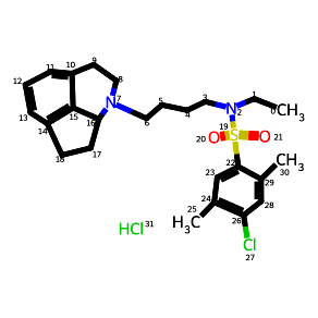 CCN(CCCCN1CCc2cccc3c2C1CC3)S(=O)(=O)c1cc(C)c(Cl)cc1C.Cl